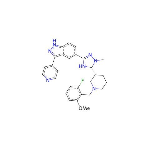 COc1cccc(F)c1CN1CCCC([C@@H]2NC(c3ccc4[nH]nc(-c5ccncc5)c4c3)=NN2C)C1